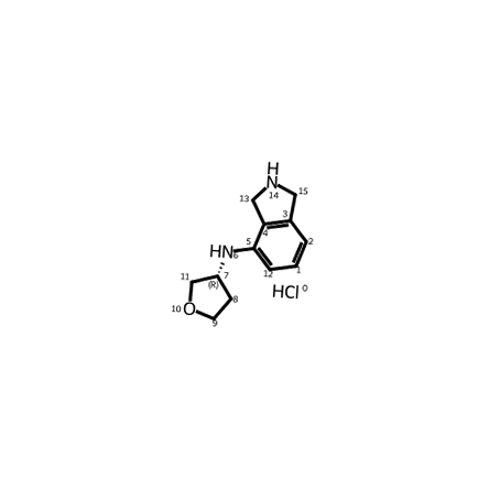 Cl.c1cc2c(c(N[C@@H]3CCOC3)c1)CNC2